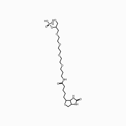 O=C(CCCCC1SCC2NC(=O)NC21)NCCCOCCOCCOCCOCC(CO)OP(=O)(O)O